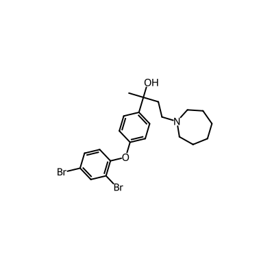 CC(O)(CCN1CCCCCC1)c1ccc(Oc2ccc(Br)cc2Br)cc1